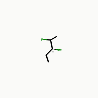 CC[C@H](F)C(C)F